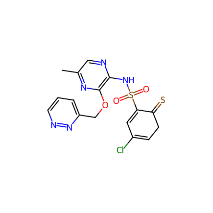 Cc1cnc(NS(=O)(=O)C2=CC(Cl)=CCC2=S)c(OCc2cccnn2)n1